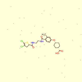 Cc1cc(O[C@H]2CC[C@@H](C(=O)O)CC2)ccc1C(=O)NCCNC(=O)C1CC(Cl)=C(Cl)S1